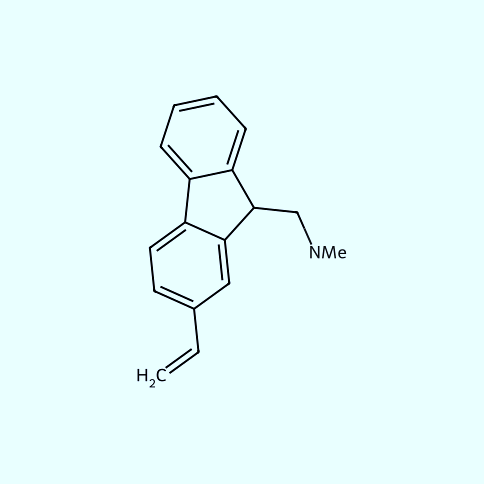 C=Cc1ccc2c(c1)C(CNC)c1ccccc1-2